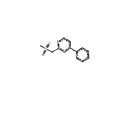 CS(=O)(=O)Cc1nccc(-c2ccccc2)n1